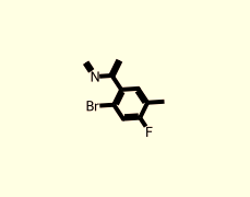 C=NC(=C)c1cc(C)c(F)cc1Br